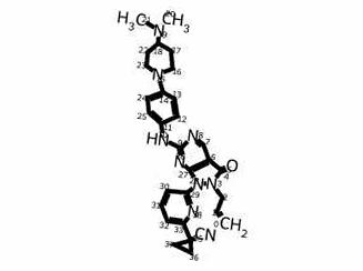 C=CCn1c(=O)c2cnc(Nc3ccc(N4CCC(N(C)C)CC4)cc3)nc2n1-c1cccc(C2(C#N)CC2)n1